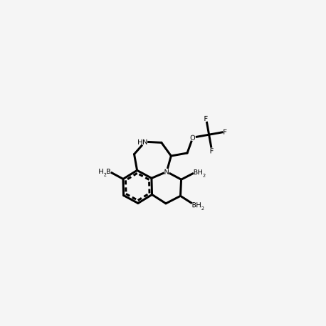 Bc1ccc2c3c1CNCC(COC(F)(F)F)N3C(B)C(B)C2